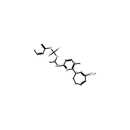 C=C(/C=C\C)OC(F)(F)OC(C)Nc1ccc(C)c(C2C=C(C(=O)O)C=CCC2)n1